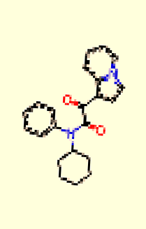 O=C(C(=O)N(c1ccccc1)C1CCCCC1)c1ccn2ccccc12